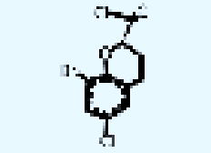 O=C(Cl)[C@H]1CCc2cc(Cl)cc(Br)c2O1